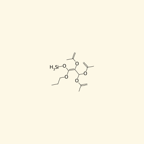 C=C(C)OC(=C(O[SiH3])OCCC)C(OC(=C)C)OC(=C)C